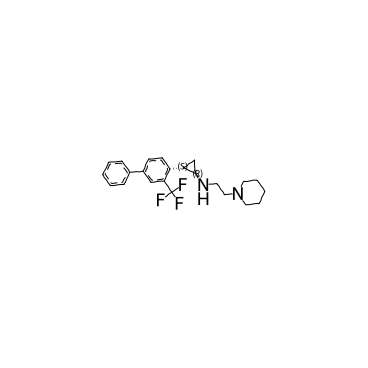 FC(F)(F)c1cc(-c2ccccc2)ccc1[C@@H]1C[C@H]1NCCN1CCCCC1